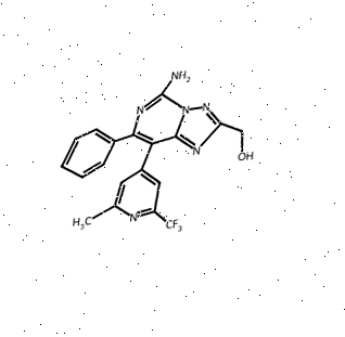 Cc1cc(-c2c(-c3ccccc3)nc(N)n3nc(CO)nc23)cc(C(F)(F)F)n1